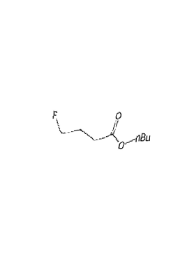 CCCCOC(=O)CCCF